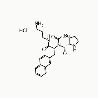 CC(C)(C)C(=O)N(C(=O)[C@@H]1CCCN1)[C@H](Cc1ccc2ccccc2c1)C(=O)NCCCN.Cl